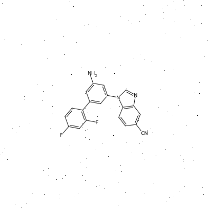 N#Cc1ccc2c(c1)ncn2-c1cc(N)cc(-c2ccc(F)cc2F)c1